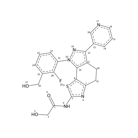 O=C(CO)Nc1nc2c(s1)-c1c(c(-c3cccnc3)nn1-c1cccc(CO)c1F)CC2